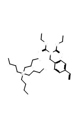 C=Cc1ccc(C[C-](C(=O)OCC)C(=O)OCC)cc1.CCCC[N+](CCCC)(CCCC)CCCC